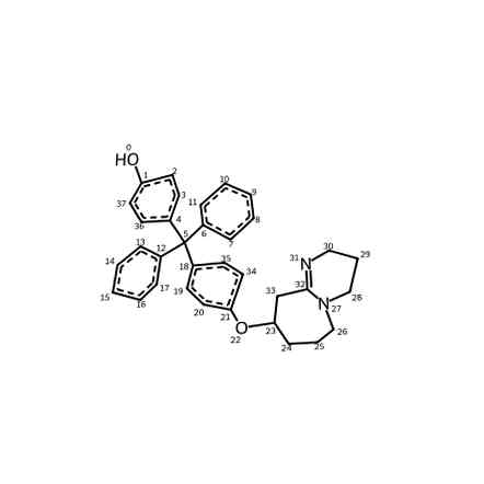 Oc1ccc(C(c2ccccc2)(c2ccccc2)c2ccc(OC3CCCN4CCCN=C4C3)cc2)cc1